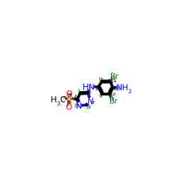 CS(=O)(=O)c1cc(Nc2cc(Br)c(N)c(Br)c2)ncn1